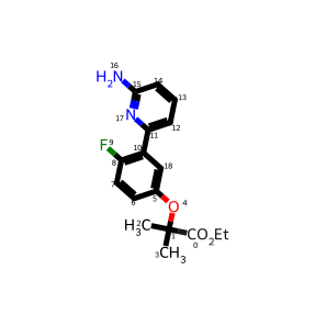 CCOC(=O)C(C)(C)Oc1ccc(F)c(-c2cccc(N)n2)c1